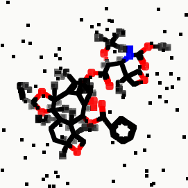 C=C[C@@H]1O[C@@H]2C3=C(C)[C@@H](OC(=O)[C@H](O[Si](CC)(CC)CC)[C@@H](NC(=O)OC(C)(C)C)C4(C)COC4)C[C@@](O)([C@@H](OC(=O)c4ccccc4)[C@H]4[C@@](C)(CC[C@H]5OC[C@]54OC(C)=O)[C@@H]2O1)C3(C)C